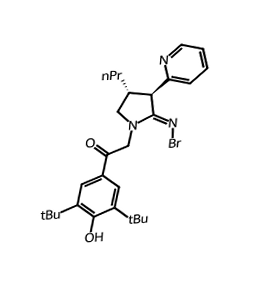 CCC[C@H]1CN(CC(=O)c2cc(C(C)(C)C)c(O)c(C(C)(C)C)c2)/C(=N\Br)[C@@H]1c1ccccn1